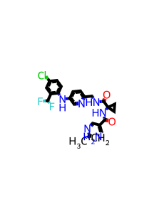 C=C(C)/N=C\C(=C/N)C(=O)NC1(C(=O)NCc2ccc(Nc3ccc(Cl)cc3C(F)F)cn2)CC1